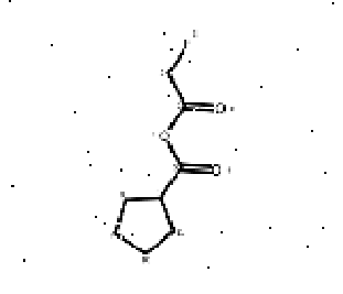 O=C(CF)OC(=O)C1CCCC1